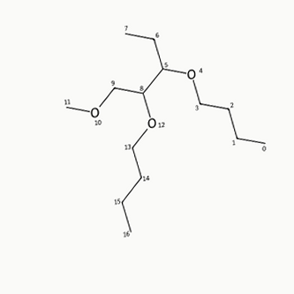 CCCCOC(CC)C(COC)OCCCC